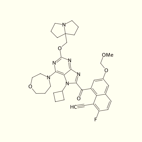 C#Cc1c(F)ccc2cc(OCOC)cc(C(=O)c3nc4nc(OCC56CCCN5CCC6)nc(N5CCCOCC5)c4n3C3CCC3)c12